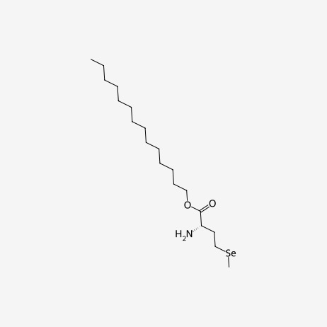 CCCCCCCCCCCCCCOC(=O)[C@@H](N)CC[Se]C